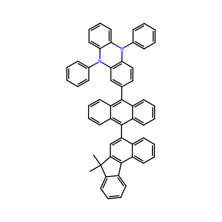 CC1(C)c2ccccc2-c2c1cc(-c1c3ccccc3c(-c3ccc4c(c3)N(c3ccccc3)c3ccccc3N4c3ccccc3)c3ccccc13)c1ccccc21